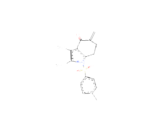 C=C1CCc2c(c(OC)c(OC)n2S(=O)(=O)c2ccc(C)cc2)C1=O